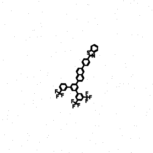 FC(F)(F)c1cccc(-c2cc(-c3cc(C(F)(F)F)cc(C(F)(F)F)c3)cc(-c3ccc4cc(-c5ccc(-c6nc7ccccc7s6)cc5)ccc4c3)c2)c1